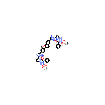 COC(=O)NC(C(=O)N1CCCC1c1ncc(-c2ccc3c(c2)COc2c-3ccc3cc(-c4cnc([C@@H]5CCCN5C(=O)C(NC(=O)OC)c5ccccc5)[nH]4)ccc23)[nH]1)c1ccccc1